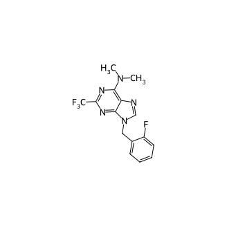 CN(C)c1nc(C(F)(F)F)nc2c1ncn2Cc1ccccc1F